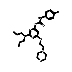 CCCN(CCC)c1nc(NC(=O)Nc2ccc(C)cc2)cc(OCCN2CCOCC2)n1